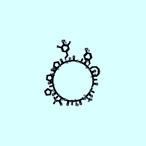 CC[C@H](C)[C@@H]1NC(=O)[C@H](CC)N(C)C(=O)C[C@@H](C(=O)N(C)C)N(C)C(=O)[C@H](C2CCCC2)N(C)C(=O)C2(CCCC2)NC(=O)[C@@H]2CCCN2C(=O)[C@H](CCc2cc(F)c(C(F)(F)F)c(F)c2)NC(=O)CN(C)C(=O)[C@H](Cc2ccc(C(F)(F)F)cc2)N2CC/C=C\C[C@@H](C2=O)N(C)C(=O)CN(C)C1=O